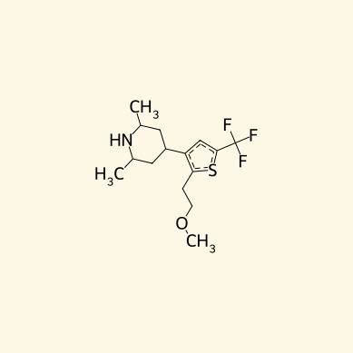 COCCc1sc(C(F)(F)F)cc1C1CC(C)NC(C)C1